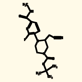 CNC(=O)c1ccc(N2CCN(C(=O)OC(C)(C)C)CC2CC#N)c(F)n1